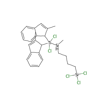 CC1=Cc2ccccc2[CH]1[Ti]([Cl])([Cl])([CH]1C(C)=Cc2ccccc21)[SiH](C)CCCC[Si](Cl)(Cl)Cl